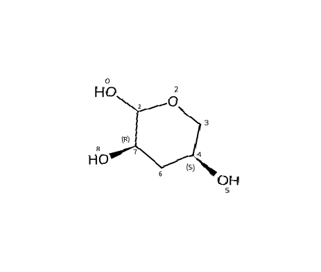 OC1OC[C@@H](O)C[C@H]1O